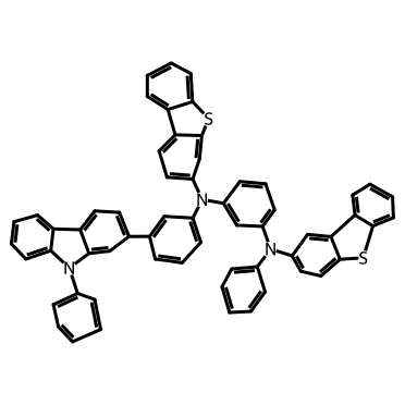 c1ccc(N(c2cccc(N(c3cccc(-c4ccc5c6ccccc6n(-c6ccccc6)c5c4)c3)c3ccc4c(c3)sc3ccccc34)c2)c2ccc3sc4ccccc4c3c2)cc1